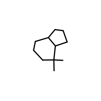 CC1(C)CCCC2CCCC21